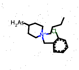 CCCC[N+]1(Cc2ccccc2Cl)CCC([AsH2])CC1